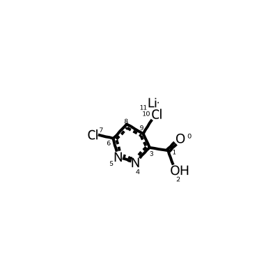 O=C(O)c1nnc(Cl)cc1Cl.[Li]